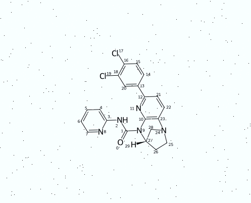 O=C(Nc1ccccn1)N1c2nc(-c3ccc(Cl)c(Cl)c3)ccc2N2CC[C@H]1C2